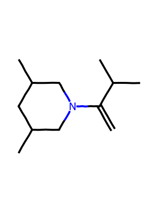 C=C(C(C)C)N1CC(C)CC(C)C1